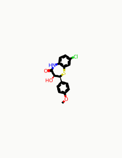 COc1ccc([C@@H]2Sc3cc(Cl)ccc3NC(=O)[C@@H]2O)cc1